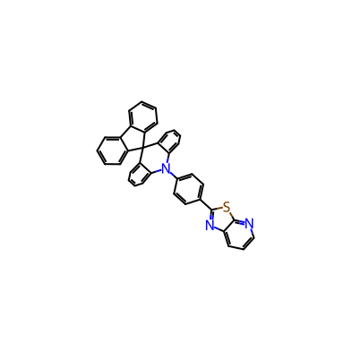 c1ccc2c(c1)-c1ccccc1C21c2ccccc2N(c2ccc(-c3nc4cccnc4s3)cc2)c2ccccc21